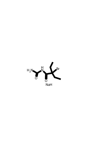 CCC(Br)(CC)C(=O)NC(N)=O.[NaH]